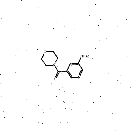 CC(=O)Nc1cncc(C(=O)N2CCOCC2)c1